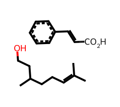 CC(C)=CCCC(C)CCO.O=C(O)C=Cc1ccccc1